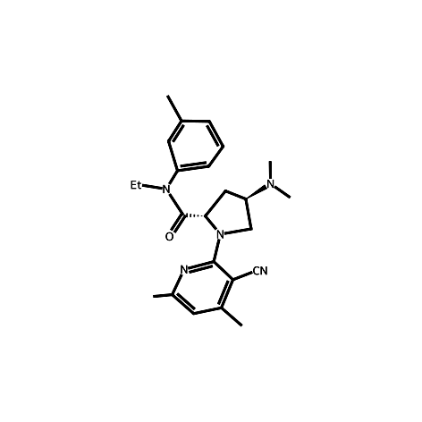 CCN(C(=O)[C@@H]1C[C@@H](N(C)C)CN1c1nc(C)cc(C)c1C#N)c1cccc(C)c1